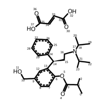 CC(C)C(=O)Oc1ccc(CO)cc1[C@H](CCN(C(C)C)C(C)C)c1ccccc1.O=C(O)C=CC(=O)O